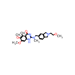 COCCN1Cc2ccc(CN(C)c3nc(=O)c4c(C)c(OC)c(OC)cc4[nH]3)cc2C1